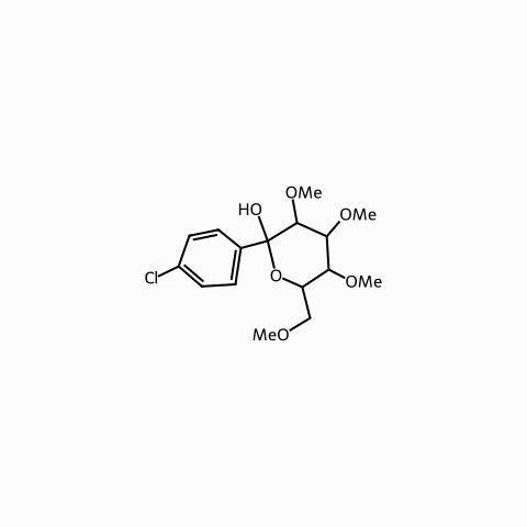 COCC1OC(O)(c2ccc(Cl)cc2)C(OC)C(OC)C1OC